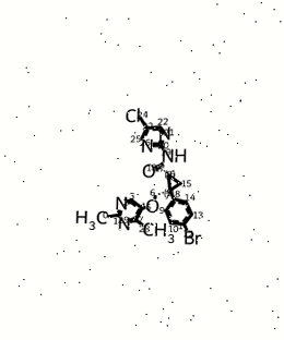 Cc1ncc(OC[C@@]2(c3ccc(Br)cc3)C[C@H]2C(=O)Nc2ncc(Cl)cn2)c(C)n1